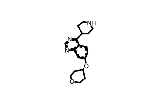 c1nc(C2CCNCC2)c2ccc(OC3CCOCC3)cc2n1